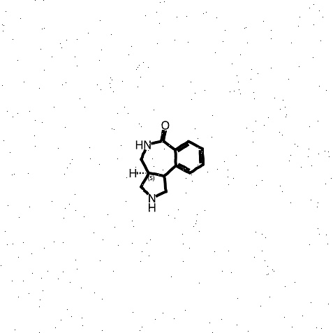 O=C1NC[C@@H]2CNCC2c2ccccc21